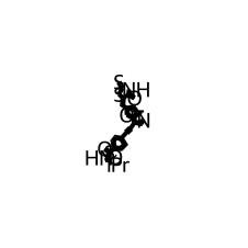 CC(C)NS(=O)(=O)c1ccc(C#Cc2cncc3cc(C=C4SC(=S)NC4=O)oc23)cc1